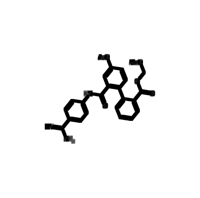 COCOC(=O)c1ccccc1-c1ccc(OC(C)=O)cc1C(=O)Nc1ccc(C(=N)N)cc1